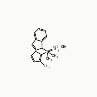 CC1=[C]([Ti]([CH3])([CH3])(=[SiH2])[CH]2C=Cc3ccccc32)CC=C1.Cl.Cl